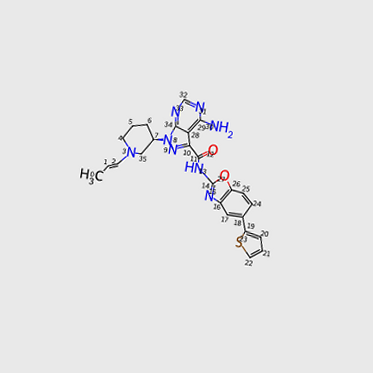 CC=CN1CCC[C@@H](n2nc(C(=O)Nc3nc4cc(-c5cccs5)ccc4o3)c3c(N)ncnc32)C1